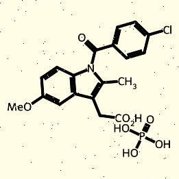 COc1ccc2c(c1)c(CC(=O)O)c(C)n2C(=O)c1ccc(Cl)cc1.O=P(O)(O)O